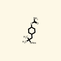 CCCCCCC(C)(C)CC1CCC(OC(N)=O)CC1